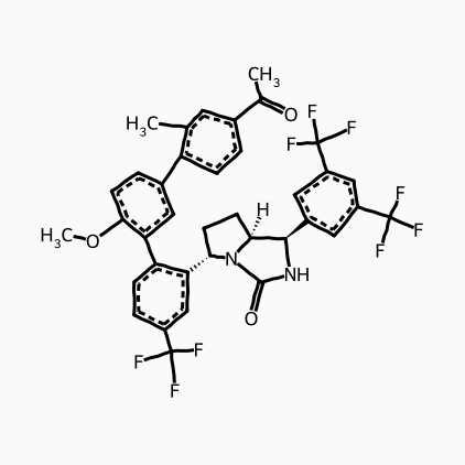 COc1ccc(-c2ccc(C(C)=O)cc2C)cc1-c1ccc(C(F)(F)F)cc1[C@@H]1CC[C@H]2[C@@H](c3cc(C(F)(F)F)cc(C(F)(F)F)c3)NC(=O)N12